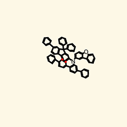 c1ccc(-c2ccc(-c3ccc(-c4ccccc4)cc3N(c3ccc4c(c3)C(c3ccccc3)(c3ccccc3)c3cc(-c5ccccc5)ccc3-4)c3ccc4oc5ccccc5c4c3)cc2)cc1